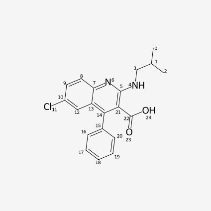 CC(C)CNc1nc2ccc(Cl)cc2c(-c2ccccc2)c1C(=O)O